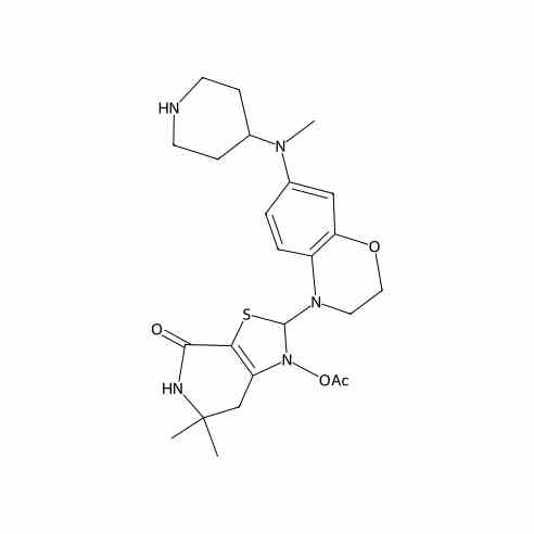 CC(=O)ON1C2=C(SC1N1CCOc3cc(N(C)C4CCNCC4)ccc31)C(=O)NC(C)(C)C2